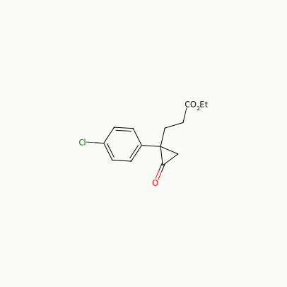 CCOC(=O)CCC1(c2ccc(Cl)cc2)CC1=O